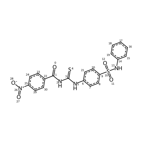 O=C(NC(=S)Nc1ccc(S(=O)(=O)Nc2ccccc2)cc1)c1ccc([N+](=O)[O-])cc1